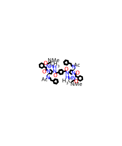 CN[C@@H](C)C(=O)N[C@H](C(=O)N1C[C@@H](NC(=O)c2ccc(C(=O)N[C@H]3C[C@@H](CN(CCc4ccccc4)C(C)=O)N(C(=O)[C@@H](NC(=O)[C@H](C)NC)C4CCCCC4)C3)cc2)C[C@H]1CN(CCc1ccccc1)C(C)=O)C1CCCCC1